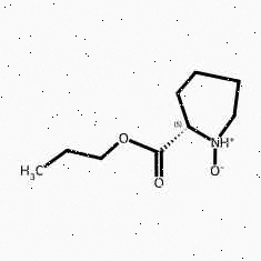 CCCOC(=O)[C@@H]1CCCC[NH+]1[O-]